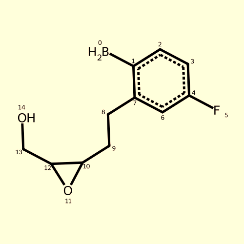 Bc1ccc(F)cc1CCC1OC1CO